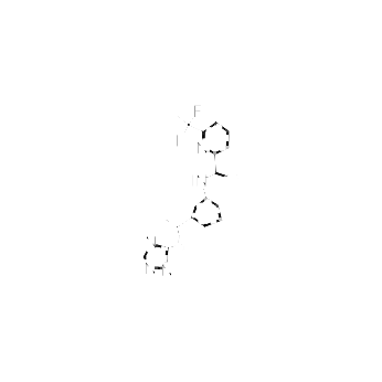 C[C@H](Sc1nncn1C)c1cccc(NC(=O)c2cccc(C(C)(F)F)n2)c1